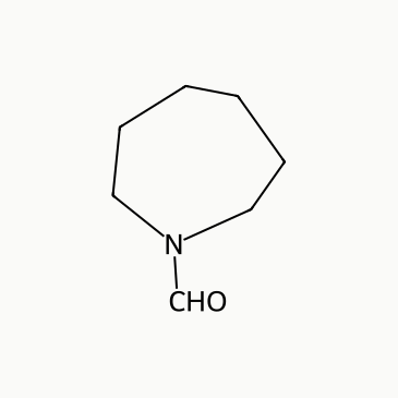 O=CN1CCCCCC1